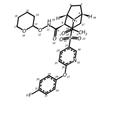 CC(=O)N1[C@@H]2CC[C@H]1[C@H](C(=O)NOC1CCCCO1)N(S(=O)(=O)c1ccc(Oc3ccc(F)cc3)nc1)C2